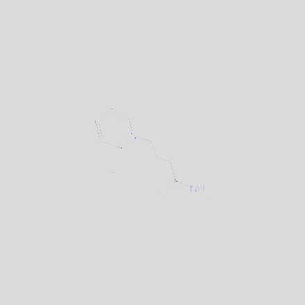 NC(=O)CCC[n+]1ccccc1.[Br-]